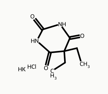 CCC1(CC)C(=O)NC(=O)NC1=O.Cl.[KH]